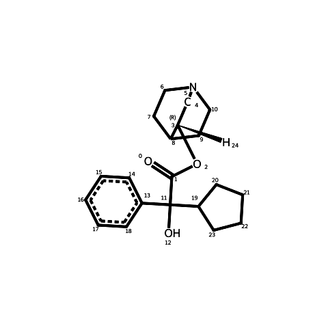 O=C(O[C@H]1CN2CCC1CC2)C(O)(c1ccccc1)C1CCCC1